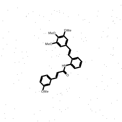 COc1cccc(/C=C/C(=O)Nc2ccccc2C=Cc2cc(OC)c(OC)c(OC)c2)c1